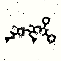 CCC[C@H](NC(=O)CN(CC1CC1)C(=O)[C@@H](NC(=O)[C@@H](NC(=O)c1cnccn1)C1CCCCC1)C(C)(C)C)C(O)C(=O)NC1CC1